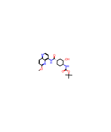 COc1ccc2nccc(NC(=O)[C@H]3CC[C@H](NC(=O)OC(C)(C)C)[C@@H](O)C3)c2n1